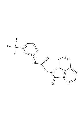 O=C(CN1C(=O)c2cccc3cccc1c23)Nc1cccc(C(F)(F)F)c1